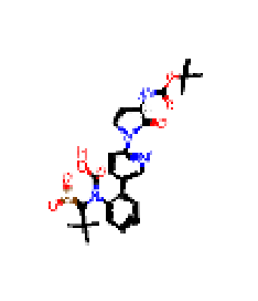 CC(C)(C)OC(=O)N[C@H]1CCN(c2ccc(-c3ccccc3N(C(=O)O)C(=S(=O)=O)C(C)(C)C)cn2)C1=O